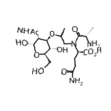 CC(=O)N[C@@H]1[C@@H](OC(C)CN(C(=O)[C@H](C)N)[C@H](CCC(N)=O)C(=O)O)[C@H](O)[C@@H](CO)O[C@@H]1O